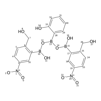 O=[N+]([O-])c1ccc(CO)c(B(O)OB(OB(O)c2cc([N+](=O)[O-])ccc2CO)c2ccccc2O)c1